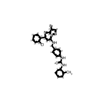 Cc1ccccc1NC(=O)Nc1ccc(CNc2cc(-c3ccccc3Cl)nc3c(Br)cnn23)cc1